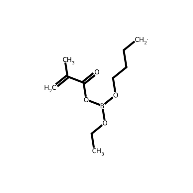 [CH2]CCCOB(OCC)OC(=O)C(=C)C